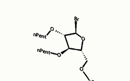 CCCCCOC[C@H]1O[C@H](Br)[C@@H](OCCCCC)[C@@H]1OCCCCC